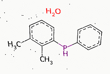 Cc1cccc(Pc2ccccc2)c1C.O